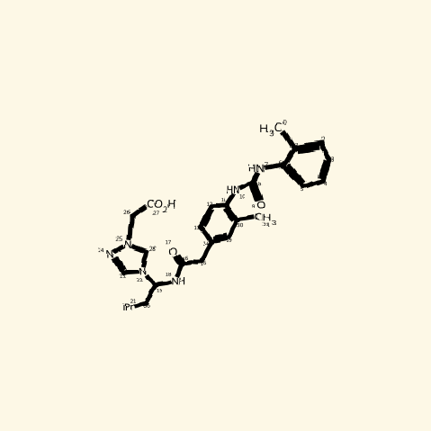 Cc1ccccc1NC(=O)Nc1ccc(CC(=O)NC(CC(C)C)N2C=NN(CC(=O)O)C2)cc1C